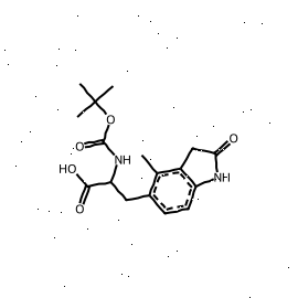 Cc1c(CC(NC(=O)OC(C)(C)C)C(=O)O)ccc2c1CC(=O)N2